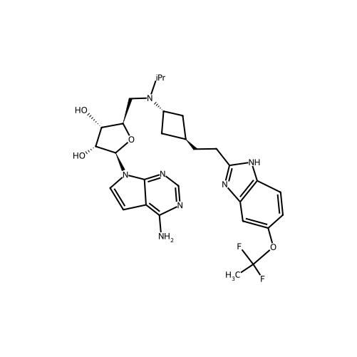 CC(C)N(C[C@H]1O[C@@H](n2ccc3c(N)ncnc32)[C@H](O)[C@@H]1O)[C@H]1C[C@H](CCc2nc3cc(OC(C)(F)F)ccc3[nH]2)C1